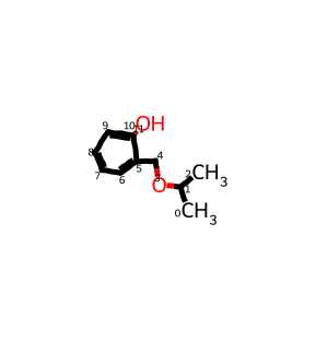 CC(C)OCc1ccccc1O